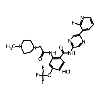 CN1CCN(CC(=O)Nc2cc(OC(F)(F)F)ccc2C(=O)Nc2cnc(-c3cccnc3F)cn2)CC1.Cl